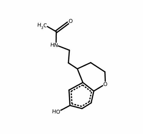 CC(=O)NCCC1CCOc2ccc(O)cc21